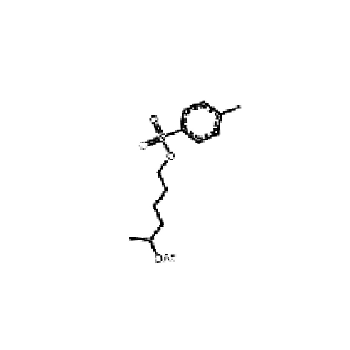 CC(=O)OC(C)CCCCOS(=O)(=O)c1ccc(C)cc1